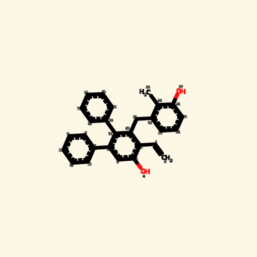 C=Cc1c(O)cc(-c2ccccc2)c(-c2ccccc2)c1Cc1cccc(O)c1C